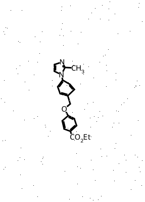 CCOC(=O)c1ccc(OCc2ccc(-n3ccnc3C)cc2)cc1